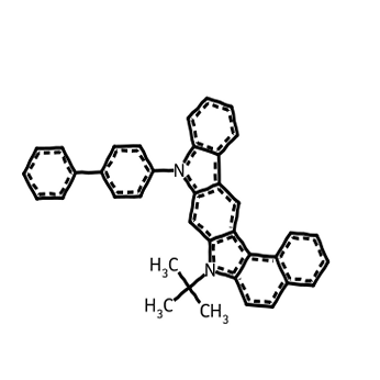 CC(C)(C)n1c2cc3c(cc2c2c4ccccc4ccc21)c1ccccc1n3-c1ccc(-c2ccccc2)cc1